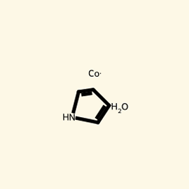 O.[Co].c1cc[nH]c1